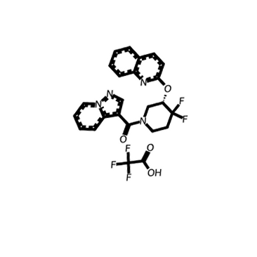 O=C(O)C(F)(F)F.O=C(c1cnn2ccccc12)N1CCC(F)(F)[C@@H](Oc2ccc3ccccc3n2)C1